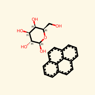 OC[C@H]1O[C@@H](O)[C@H](O)[C@@H](O)[C@H]1O.c1cc2ccc3cccc4ccc(c1)c2c34